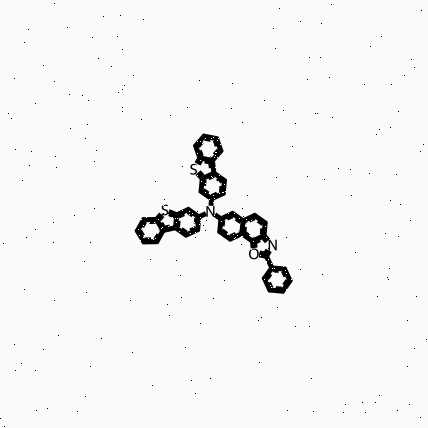 c1ccc(-c2nc3ccc4cc(N(c5ccc6c(c5)sc5ccccc56)c5ccc6c(c5)sc5ccccc56)ccc4c3o2)cc1